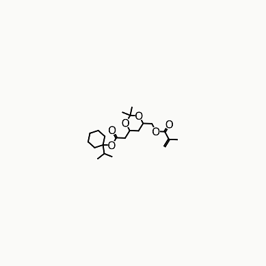 C=C(C)C(=O)OCC1CC(CC(=O)OC2(C(C)C)CCCCC2)OC(C)(C)O1